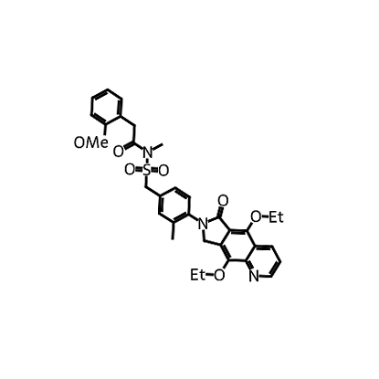 CCOc1c2c(c(OCC)c3ncccc13)CN(c1ccc(CS(=O)(=O)N(C)C(=O)Cc3ccccc3OC)cc1C)C2=O